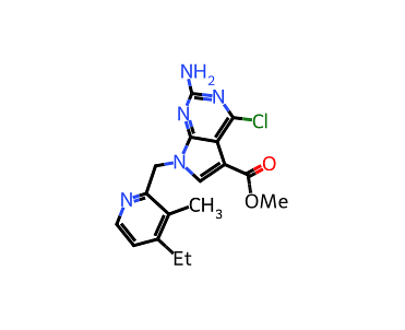 CCc1ccnc(Cn2cc(C(=O)OC)c3c(Cl)nc(N)nc32)c1C